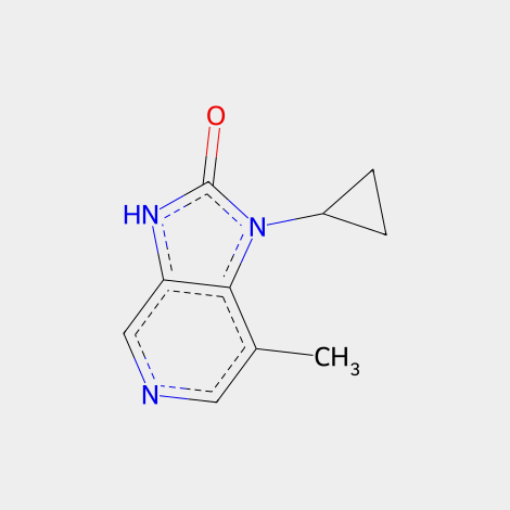 Cc1cncc2[nH]c(=O)n(C3CC3)c12